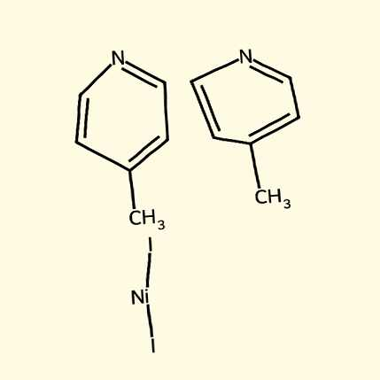 Cc1ccncc1.Cc1ccncc1.[I][Ni][I]